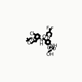 CC1(C)Cn2c(cc3c(NC(=O)c4ccc(NS(=O)(=O)CCO)cc4N4CCC(=C(F)F)CC4)ccc(Cl)c32)CO1